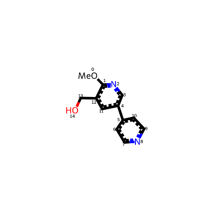 COc1ncc(-c2ccncc2)cc1CO